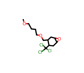 COCCCCOCC1CC2OC2CC1C(Cl)(Cl)Cl